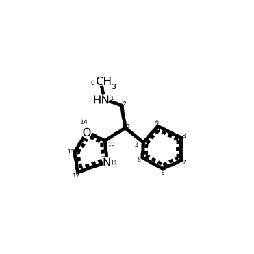 CNCC(c1ccccc1)c1ncco1